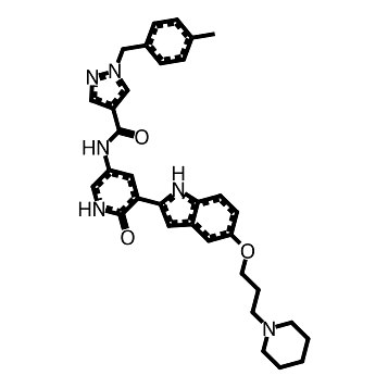 Cc1ccc(Cn2cc(C(=O)Nc3c[nH]c(=O)c(-c4cc5cc(OCCCN6CCCCC6)ccc5[nH]4)c3)cn2)cc1